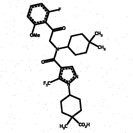 COc1cccc(F)c1C(=O)CN(C(=O)c1cnn(C2CCC(C)(C(=O)O)CC2)c1C(F)(F)F)C1CCC(C)(C)CC1